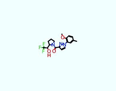 COc1ccc(C)cc1-n1ccc(C(=O)N2CCCC2C(O)C(F)(F)F)n1